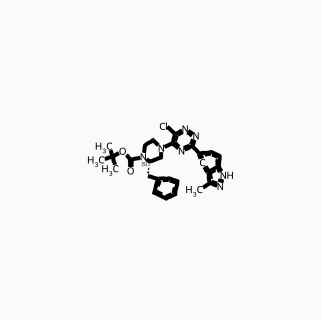 Cc1n[nH]c2ccc(-c3nnc(Cl)c(N4CCN(C(=O)OC(C)(C)C)[C@@H](Cc5ccccc5)C4)n3)cc12